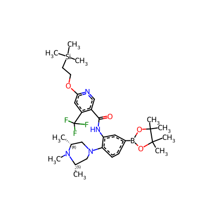 C[C@@H]1CN(c2ccc(B3OC(C)(C)C(C)(C)O3)cc2NC(=O)c2cnc(OCC[Si](C)(C)C)cc2C(F)(F)F)C[C@H](C)N1C